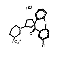 Cl.O=C(O)C1CCCN(C2CCC3(C2)C(=O)c2cc(Cl)ccc2Oc2ccccc23)C1